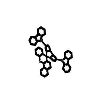 c1ccc2c(c1)Sc1c(ccc3ccccc13)C21c2ccc(-n3c4ccccc4c4ccccc43)cc2-c2ccc(-n3c4ccccc4c4ccccc43)cc21